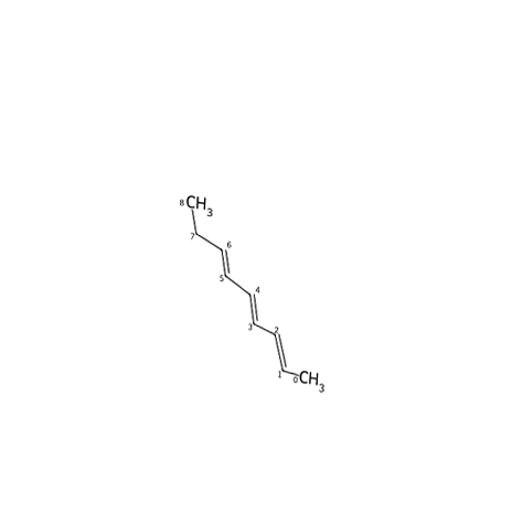 C/C=C/C=C/C=C/CC